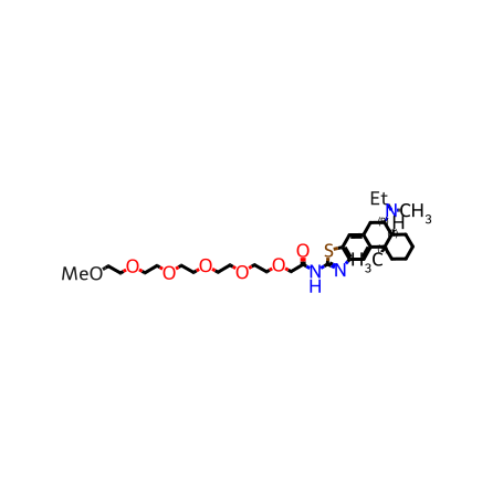 CCN(C)[C@@H]1Cc2cc3sc(NC(=O)COCCOCCOCCOCCOCCOC)nc3cc2[C@@]2(C)CCCC[C@@H]12